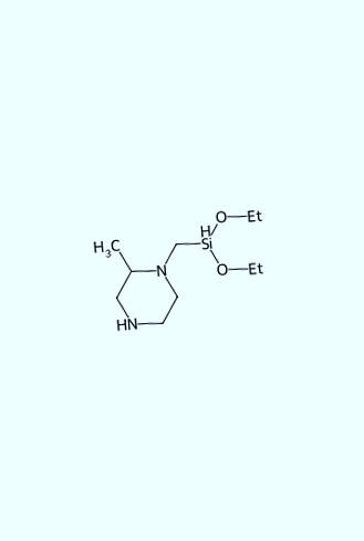 CCO[SiH](CN1CCNCC1C)OCC